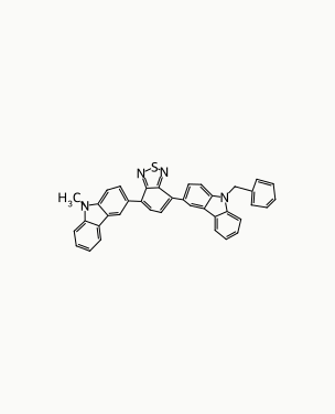 Cn1c2ccccc2c2cc(-c3ccc(-c4ccc5c(c4)c4ccccc4n5Cc4ccccc4)c4nsnc34)ccc21